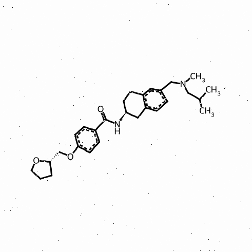 CC(C)CN(C)Cc1ccc2c(c1)CC[C@H](NC(=O)c1ccc(OC[C@@H]3CCCO3)cc1)C2